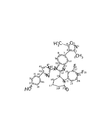 Cc1noc(C)c1-c1ccc2c(c1)nc(C1CCCC(=O)N1c1ccc(F)c(F)c1)n2-c1nc(-c2ccc(O)cc2)cs1